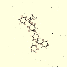 c1ccc([SH](c2ccccc2)c2ccc(-c3ccc([SH](c4ccccc4)C4CC4)cc3)cc2)cc1